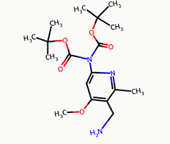 COc1cc(N(C(=O)OC(C)(C)C)C(=O)OC(C)(C)C)nc(C)c1CN